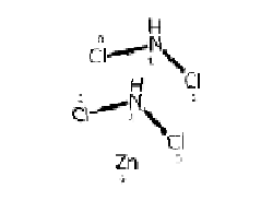 ClNCl.ClNCl.[Zn]